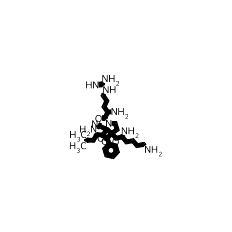 CC(C)CC(N)C(=O)C1(C#N)N(C(=O)C(N)CCCNC(=N)N)CCC1(C(=O)c1ccccc1)C(=O)C(N)CCCCN